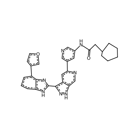 O=C(CC1CCCCC1)Nc1cncc(-c2cc3c(-c4nc5c(-c6ccoc6)cccc5[nH]4)n[nH]c3cn2)c1